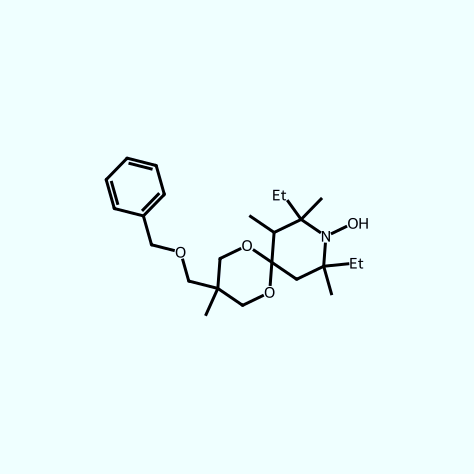 CCC1(C)CC2(OCC(C)(COCc3ccccc3)CO2)C(C)C(C)(CC)N1O